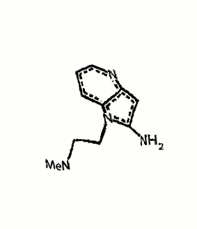 CNCCn1c(N)cc2ncccc21